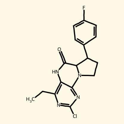 CCc1nc(Cl)nc2c1NC(=O)C1C(c3ccc(F)cc3)CCN21